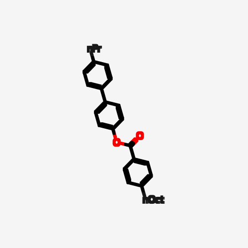 CCCCCCCCc1ccc(C(=O)Oc2ccc(-c3ccc(CCC)cc3)cc2)cc1